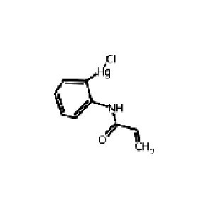 C=CC(=O)Nc1cccc[c]1[Hg][Cl]